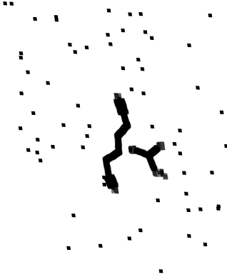 CC(Cl)Cl.N#CCCCCC#N